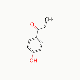 [CH]=CC(=O)c1ccc(O)cc1